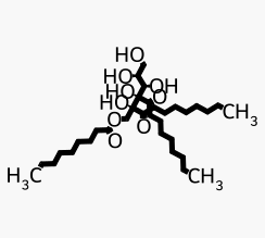 CCCCCCCCC(=O)OC[C@](O)(C(=O)CCCCCCCC)[C@](O)(C(=O)CCCCCCCC)[C@H](O)[C@@H](O)CO